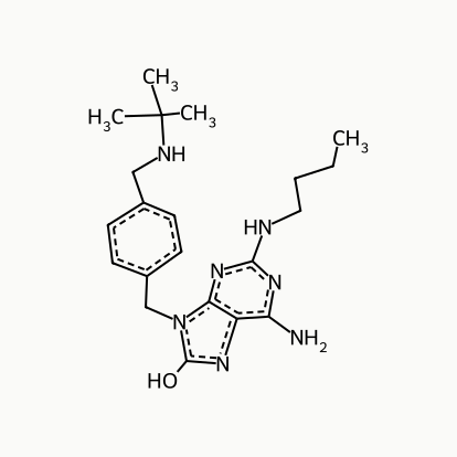 CCCCNc1nc(N)c2nc(O)n(Cc3ccc(CNC(C)(C)C)cc3)c2n1